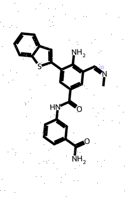 C/N=C\c1cc(C(=O)Nc2cccc(C(N)=O)c2)cc(-c2cc3ccccc3s2)c1N